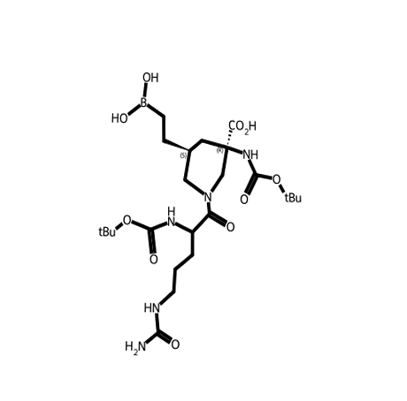 CC(C)(C)OC(=O)NC(CCCNC(N)=O)C(=O)N1C[C@@H](CCB(O)O)C[C@](NC(=O)OC(C)(C)C)(C(=O)O)C1